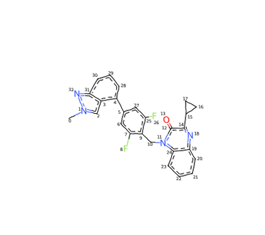 Cn1cc2c(-c3cc(F)c(Cn4c(=O)c(C5CC5)nc5ccccc54)c(F)c3)cccc2n1